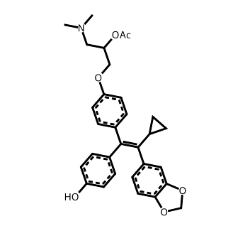 CC(=O)OC(COc1ccc(/C(=C(/c2ccc3c(c2)OCO3)C2CC2)c2ccc(O)cc2)cc1)CN(C)C